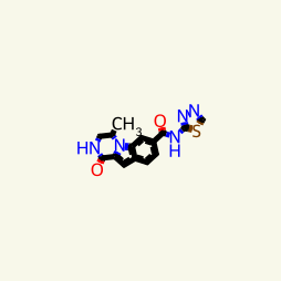 CC1CNC(=O)c2cc3ccc(C(=O)Nc4nncs4)cc3n21